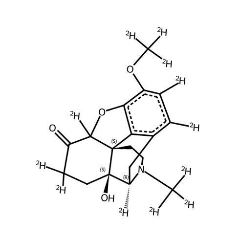 [2H]c1c([2H])c(OC([2H])([2H])[2H])c2c3c1C[C@@]1([2H])N(C([2H])([2H])[2H])CC[C@@]34C([2H])(O2)C(=O)C([2H])([2H])C[C@@]14O